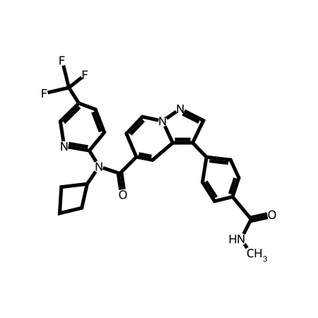 CNC(=O)c1ccc(-c2cnn3ccc(C(=O)N(c4ccc(C(F)(F)F)cn4)C4CCC4)cc23)cc1